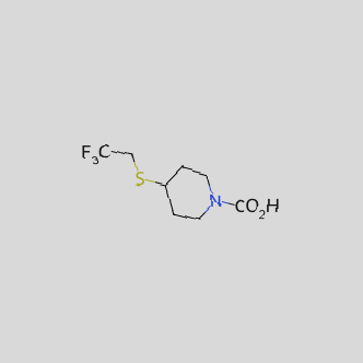 O=C(O)N1CCC(SCC(F)(F)F)CC1